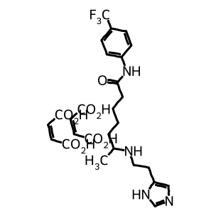 CC(CCCCC(=O)Nc1ccc(C(F)(F)F)cc1)NCCc1cnc[nH]1.O=C(O)/C=C\C(=O)O.O=C(O)/C=C\C(=O)O